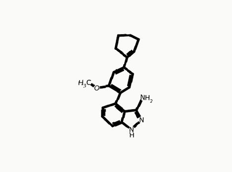 COc1cc(C2=CCCCC2)ccc1-c1cccc2[nH]nc(N)c12